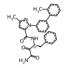 Cc1cc(C(=O)N[C@@H](Cc2ccccc2)C(=O)C(N)=O)n(-c2cccc(-c3ccccc3C)c2)n1